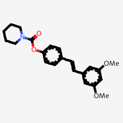 COc1cc(C=Cc2ccc(OC(=O)N3CCCCC3)cc2)cc(OC)c1